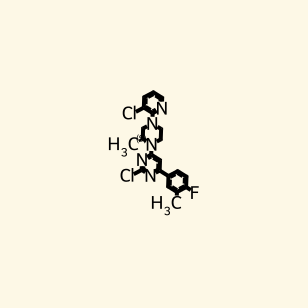 Cc1cc(-c2cc(N3CCN(c4ncccc4Cl)C[C@@H]3C)nc(Cl)n2)ccc1F